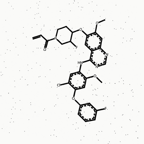 C=CC(=O)N1CCC(Oc2cc3c(Nc4cc(Cl)c(Oc5cccc(F)c5)cc4OC)ncnc3cc2OC)C(F)C1